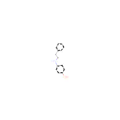 Oc1ccc(NCCc2ccccc2)cc1